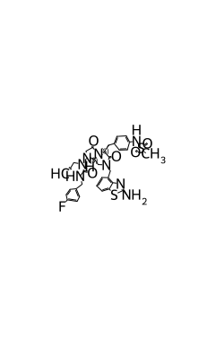 C#CCN(C(=O)NCc1ccc(F)cc1)N1CC(=O)N2[C@@H](Cc3ccc(NS(C)(=O)=O)cc3)C(=O)N(Cc3cccc4sc(N)nc34)C[C@@H]21